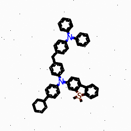 CS1(C)c2ccccc2-c2ccc(N(c3ccc(Cc4ccc(N(c5ccccc5)c5ccccc5)cc4)cc3)c3ccc(C4CCCCC4)cc3)cc21